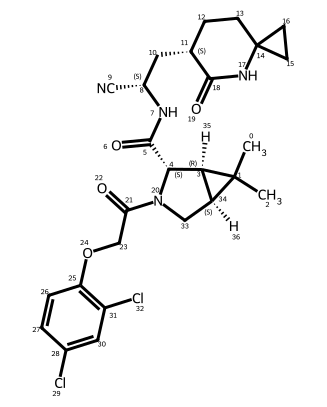 CC1(C)[C@@H]2[C@@H](C(=O)N[C@H](C#N)C[C@@H]3CCC4(CC4)NC3=O)N(C(=O)COc3ccc(Cl)cc3Cl)C[C@@H]21